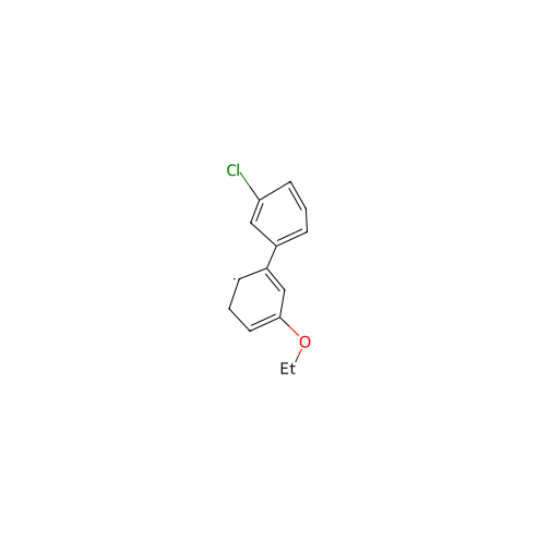 CCOC1=CC[CH]C(c2cccc(Cl)c2)=C1